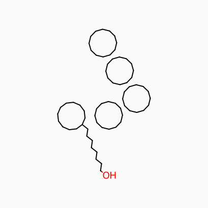 C1CCCCCCCCCCC1.C1CCCCCCCCCCC1.C1CCCCCCCCCCC1.C1CCCCCCCCCCC1.OCCCCCCCCC1CCCCCCCCCCC1